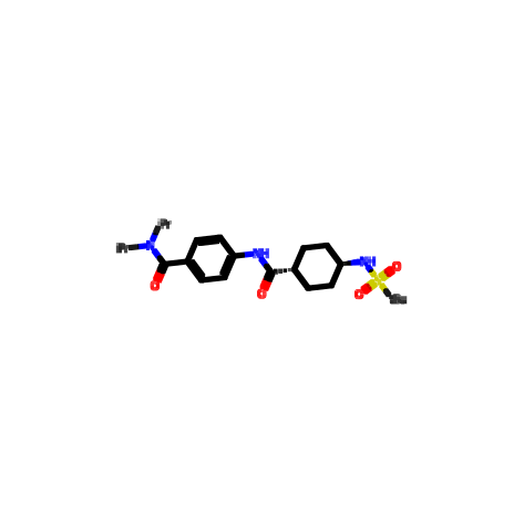 CC(C)N(C(=O)c1ccc(NC(=O)[C@H]2CC[C@H](NS(=O)(=O)C(C)(C)C)CC2)cc1)C(C)C